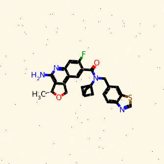 C[C@H]1OCc2c1c(N)nc1cc(F)c(C(=O)N(Cc3ccc4ncsc4c3)C34CC(C3)C4)cc21